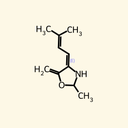 C=C1OC(C)N/C1=C/C=C(C)C